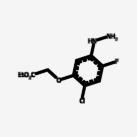 CCOC(=O)COc1cc(NN)c(F)cc1Cl